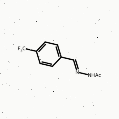 CC(=O)NN=Cc1ccc(C(F)(F)F)cc1